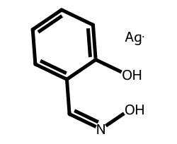 O/N=C\c1ccccc1O.[Ag]